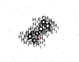 Cc1c(C)c(-n2c3c(C)c(C)c(C)c(C)c3c3c(C)c(C)c(C)c(C)c32)c(C)c(C)c1-c1c(C)c(C)c(-n2c3c(C)c(C)c(C)c(C)c3c3c(C)c(C)c(C)c(C)c32)c(C)c1C